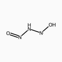 O=NN[N]O